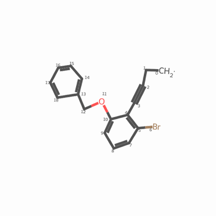 [CH2]CC#Cc1c(Br)cccc1OCc1ccccc1